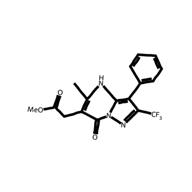 COC(=O)Cc1c(C)[nH]c2c(-c3ccccc3)c(C(F)(F)F)nn2c1=O